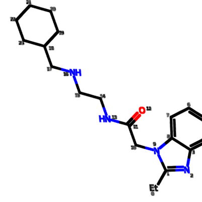 CCc1nc2ccccc2n1CC(=O)NCCNCC1CCCCC1